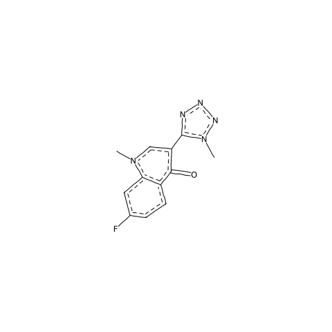 Cn1nnnc1-c1cn(C)c2cc(F)ccc2c1=O